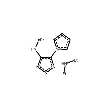 CCCNc1nsnc1-n1ccnc1.CCNCC